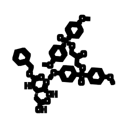 COc1ccc(P(=O)(OCC(=O)COP(=O)(c2ccc(OC)cc2)c2ccc(OC)cc2)c2ccc(OC)cc2)cc1.O=C(O)C[C@H](NC(=O)OCc1ccccc1)C(=O)O